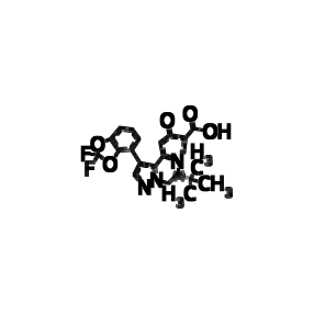 CC(C)(C)[C@@H]1Cn2ncc(-c3cccc4c3OC(F)(F)O4)c2-c2cc(=O)c(C(=O)O)cn21